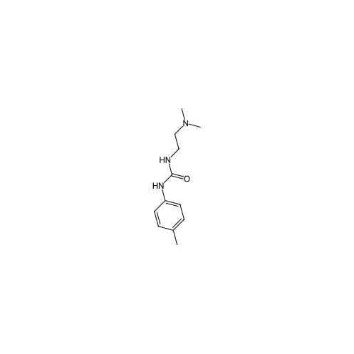 Cc1ccc(NC(=O)NCCN(C)C)cc1